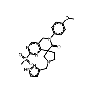 COc1ccc(N2Cc3cnc(S(C)(=O)=O)nc3C3(CCN(Cc4cc[nH]n4)C3)C2=O)cc1